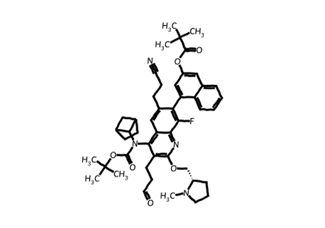 CN1CCC[C@H]1COc1nc2c(F)c(-c3cc(OC(=O)C(C)(C)C)cc4ccccc34)c(CCC#N)cc2c(N(C(=O)OC(C)(C)C)C2C3CCC2C3)c1CCC=O